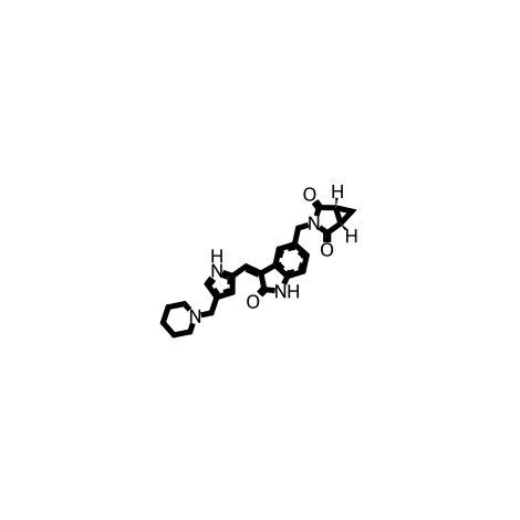 O=C1Nc2ccc(CN3C(=O)[C@H]4C[C@H]4C3=O)cc2/C1=C/c1cc(CN2CCCCC2)c[nH]1